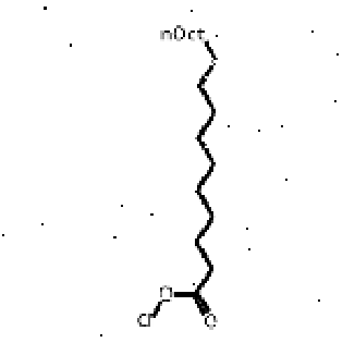 CCCCCCCCCCCCCCCCCC(=O)OCl